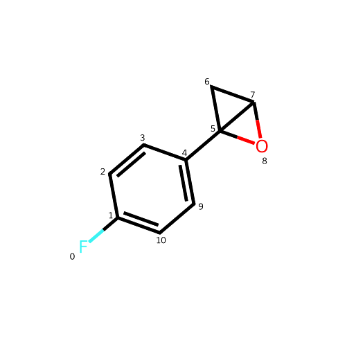 Fc1ccc(C23CC2O3)cc1